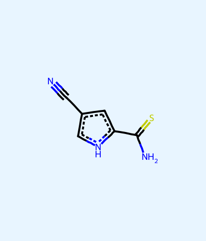 N#Cc1c[nH]c(C(N)=S)c1